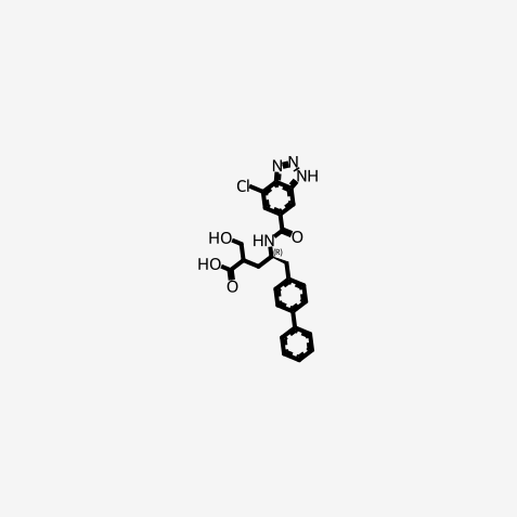 O=C(N[C@@H](Cc1ccc(-c2ccccc2)cc1)CC(CO)C(=O)O)c1cc(Cl)c2nn[nH]c2c1